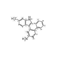 Cc1ccc2c(-c3nc(N)ncc3-c3ccccc3)c[nH]c2c1